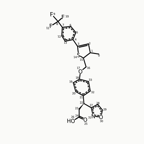 CC1C=C(c2ccc(C(F)(F)F)cc2)SC1COc1ccc([C@H](CC(=O)O)c2ccon2)cc1